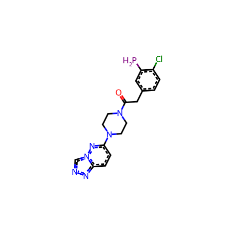 O=C(Cc1ccc(Cl)c(P)c1)N1CCN(c2ccc3nncn3n2)CC1